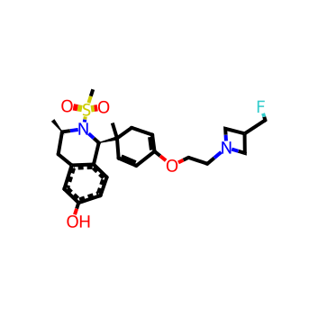 C[C@@H]1Cc2cc(O)ccc2[C@H](C2(C)C=CC(OCCN3CC(CF)C3)=CC2)N1S(C)(=O)=O